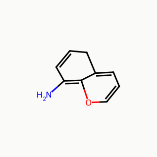 NC1=C2OC=CC=C2CC=C1